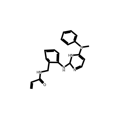 C=CC(=O)NCc1ccccc1NC1N=CC=C(N(C)c2ccccc2)N1